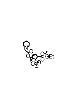 CCOC(C)OC(=O)C1C2CC3C(OS(=O)(=O)C31)C2OC(=O)CN1CCCCC1